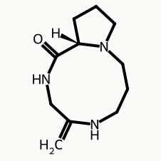 C=C1CNC(=O)[C@@H]2CCCN2CCCN1